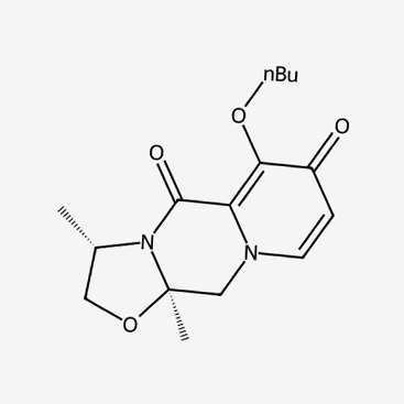 CCCCOc1c2n(ccc1=O)C[C@@]1(C)OC[C@H](C)N1C2=O